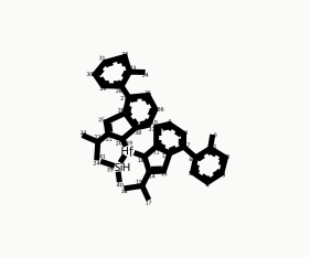 Cc1ccccc1-c1cccc2c1C=C(C(C)C)[CH]2[Hf]([CH]1C(C(C)C)=Cc2c(-c3ccccc3C)cccc21)[SiH](C)C